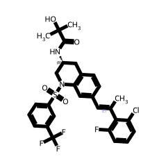 C/C(=C\c1ccc2c(c1)N(S(=O)(=O)c1cccc(C(F)(F)F)c1)C[C@H](NC(=O)C(C)(C)O)C2)c1c(F)cccc1Cl